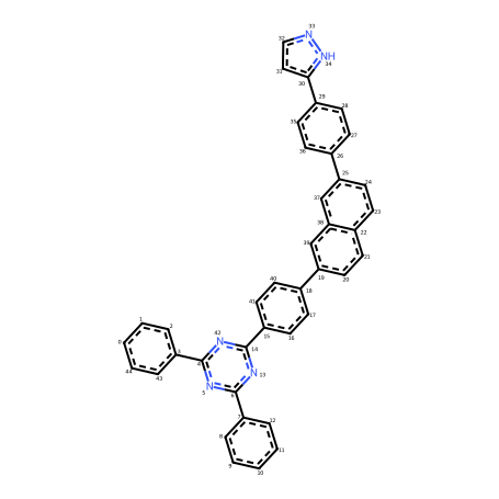 c1ccc(-c2nc(-c3ccccc3)nc(-c3ccc(-c4ccc5ccc(-c6ccc(-c7ccn[nH]7)cc6)cc5c4)cc3)n2)cc1